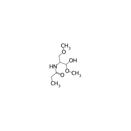 CCC(=O)NC(COC)C(O)OC